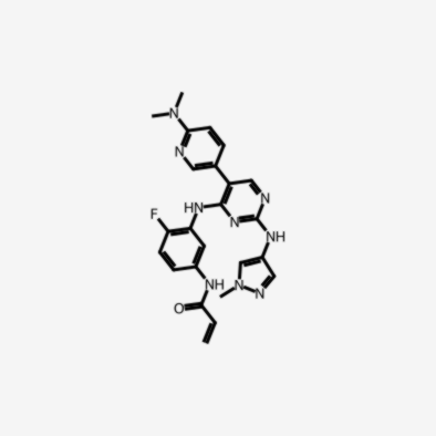 C=CC(=O)Nc1ccc(F)c(Nc2nc(Nc3cnn(C)c3)ncc2-c2ccc(N(C)C)nc2)c1